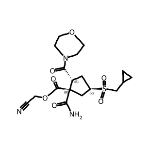 N#CCOC(=O)[C@]1(C(N)=O)C[C@H](S(=O)(=O)CC2CC2)C[C@H]1C(=O)N1CCOCC1